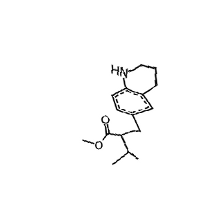 COC(=O)C(Cc1ccc2c(c1)CCCN2)C(C)C